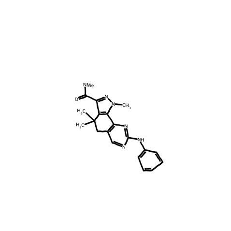 CNC(=O)c1nn(C)c2c1C(C)(C)Cc1cnc(Nc3ccccc3)nc1-2